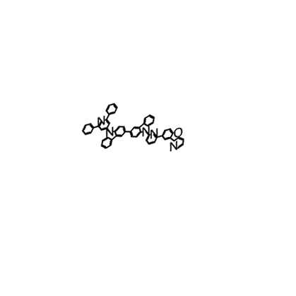 c1ccc(-c2cc(-n3c4ccccc4c4cc(-c5ccc6c(c5)c5ccccc5n6-c5cccc(-c6ccc7oc8cccnc8c7c6)n5)ccc43)cc(-c3ccccc3)n2)cc1